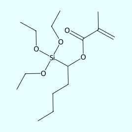 C=C(C)C(=O)OC(CCCC)[Si](OCC)(OCC)OCC